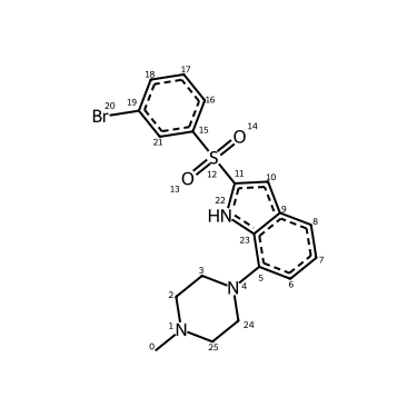 CN1CCN(c2cccc3cc(S(=O)(=O)c4cccc(Br)c4)[nH]c23)CC1